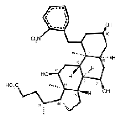 C[C@H](CCC(=O)O)[C@H]1CC[C@H]2[C@@H]3[C@H](O)C[C@@H]4C[C@H](O)CC(Cc5ccccc5[N+](=O)[O-])[C@]4(C)[C@H]3C[C@H](O)[C@]12C